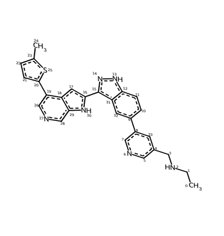 CCNCc1cncc(-c2ccc3[nH]nc(-c4cc5c(-c6ccc(C)s6)cncc5[nH]4)c3c2)c1